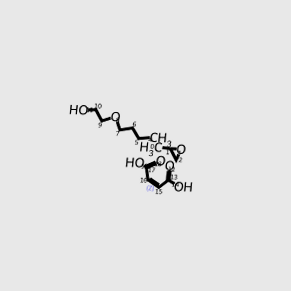 CC1CO1.CCCCOCCO.O=C(O)/C=C\C(=O)O